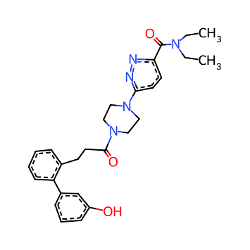 CCN(CC)C(=O)c1ccc(N2CCN(C(=O)CCc3ccccc3-c3cccc(O)c3)CC2)nn1